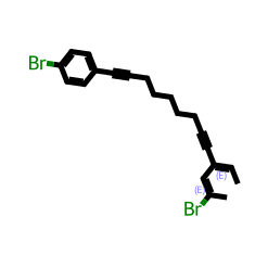 C/C=C(C#CCCCCCC#Cc1ccc(Br)cc1)\C=C(/C)Br